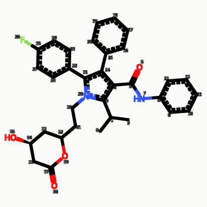 CC(C)c1c(C(=O)Nc2ccccc2)c(-c2ccccc2)c(-c2ccc(F)cc2)n1CCC1C[C@H](O)CC(=O)O1